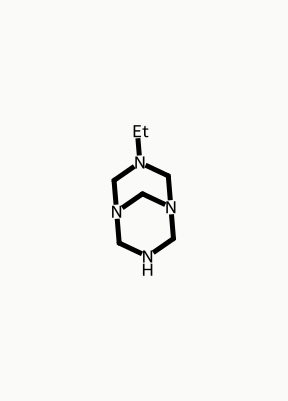 CCN1CN2CNCN(C1)C2